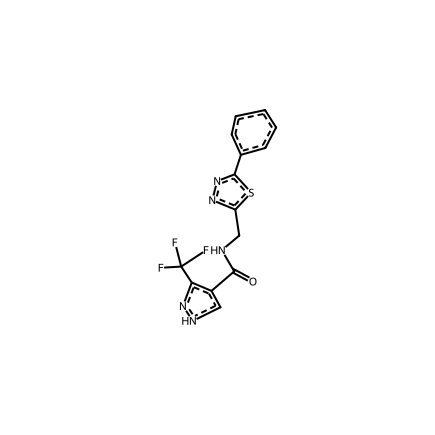 O=C(NCc1nnc(-c2ccccc2)s1)c1c[nH]nc1C(F)(F)F